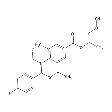 CCSC(c1ccc(F)cc1)N(C=O)c1ccc(C(=O)OC(C)COC)cc1C